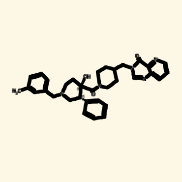 Cc1cccc(CN2CC[C@](O)(C(=O)N3CCC(Cn4cnc5cccnc5c4=O)CC3)[C@H](c3ccccc3)C2)c1